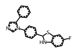 Fc1ccc2c(c1)SC(c1ccc(-n3cncc3-c3ccccc3)cc1)N2